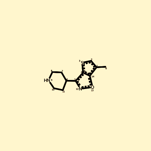 Cc1csc2c(C3CCNCC3)noc12